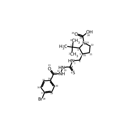 CC(C)(C)C1[C@H](CNC(=S)NNC(=O)c2ccc(Br)cc2)CCN1C(=O)O